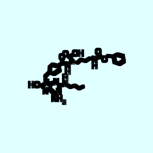 CCCCNc1nc(N)c2nc(O)n(Cc3ccc(C(=O)N[C@@H](CCCCNC(=O)OCc4ccccc4)C(=O)O)cc3)c2n1